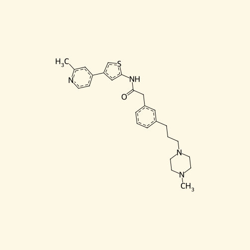 Cc1cc(-c2csc(NC(=O)Cc3cccc(CCCN4CCN(C)CC4)c3)c2)ccn1